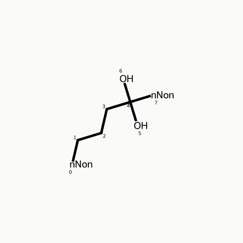 CCCCCCCCCCCCC(O)(O)CCCCCCCCC